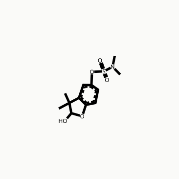 CN(C)S(=O)(=O)Oc1ccc2c(c1)C(C)(C)C(O)O2